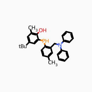 Cc1ccc(Pc2cc(C(C)(C)C)cc(C)c2O)c(CN(c2ccccc2)c2ccccc2)c1